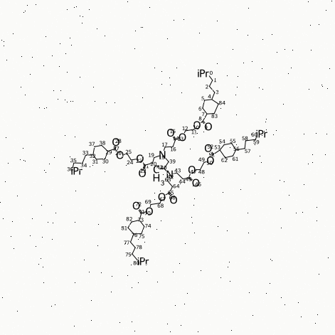 CC(C)CCCC1CCC(C(=O)OCCOC(=O)CCN(CCC(=O)OCCOC(=O)C2CCC(CCCC(C)C)CC2)CC(C)N(CCC(=O)OCCOC(=O)C2CCC(CCCC(C)C)CC2)CCC(=O)OCCOC(=O)C2CCC(CCCC(C)C)CC2)CC1